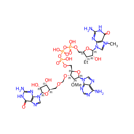 CC[C@H]1[C@@H](O)[C@H](n2c[n+](C)c3c(=O)[nH]c(N)nc32)O[C@@H]1COP(=O)(O)OP(=O)(O)OP(=O)(O)OC[C@H]1O[C@@H](n2cnc3c(N)ncnc32)[C@H](OC)[C@@H]1OCOC[C@H]1O[C@@H](n2cnc3c(=O)[nH]c(N)nc32)[C@H](O)[C@@H]1O